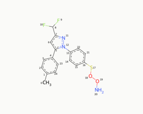 Cc1ccc(-c2cc(C(F)F)nn2-c2ccc(SOON)cc2)cc1